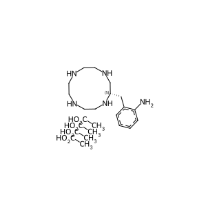 CC(=O)O.CC(=O)O.CC(=O)O.CC(=O)O.Nc1ccccc1C[C@H]1CNCCNCCNCCN1